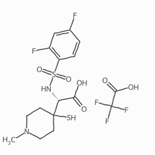 CN1CCC(S)([C@H](NS(=O)(=O)c2ccc(F)cc2F)C(=O)O)CC1.O=C(O)C(F)(F)F